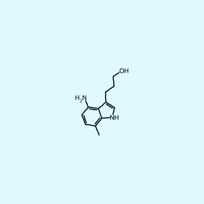 Cc1ccc(N)c2c(CCCO)c[nH]c12